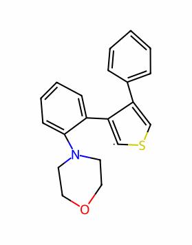 [c]1scc(-c2ccccc2)c1-c1ccccc1N1CCOCC1